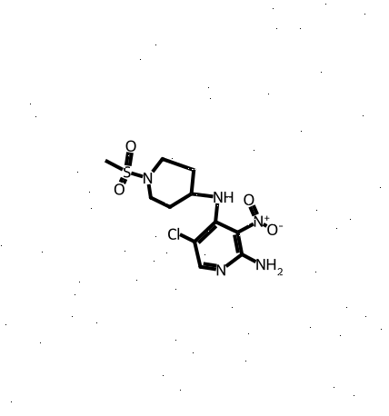 CS(=O)(=O)N1CCC(Nc2c(Cl)cnc(N)c2[N+](=O)[O-])CC1